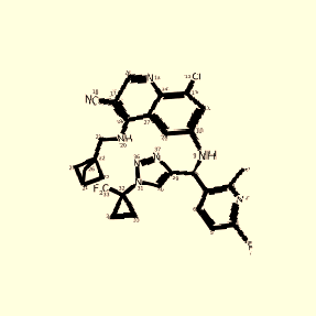 Cc1nc(F)ccc1[C@H](Nc1cc(Cl)c2ncc(C#N)c(NCC34CC(C3)C4)c2c1)c1cn(C2(C(F)(F)F)CC2)nn1